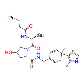 Cc1ncsc1C1(C)C=CC(CNC(=O)[C@@H]2C[C@@H](O)CN2C(=O)[C@@H](NC(=O)CCC(C)C)C(C)(C)C)=CC1